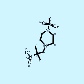 CC(C)(CN1CCN(S(C)(=O)=O)CC1)[N+](=O)[O-]